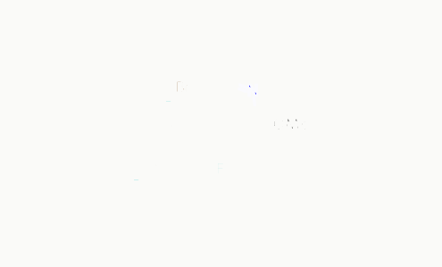 COc1cc(-c2c(F)cc(F)cc2F)c(Br)cn1